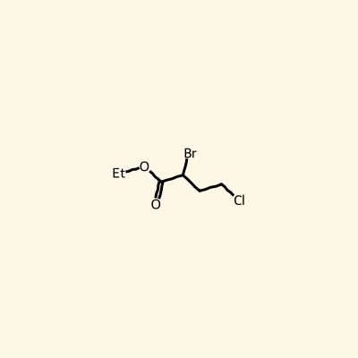 CCOC(=O)C(Br)CCCl